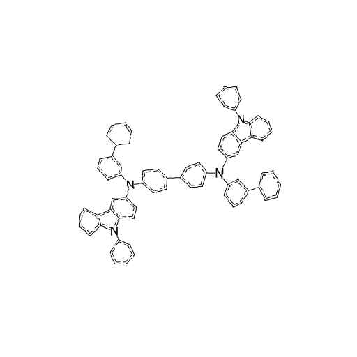 C1=CCC(c2cccc(N(c3ccc(-c4ccc(N(c5cccc(-c6ccccc6)c5)c5ccc6c(c5)c5ccccc5n6-c5ccccc5)cc4)cc3)c3ccc4c(c3)c3ccccc3n4-c3ccccc3)c2)C=C1